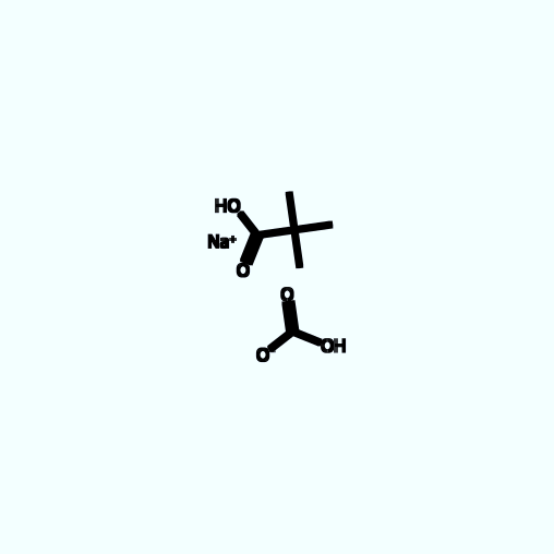 CC(C)(C)C(=O)O.O=C([O-])O.[Na+]